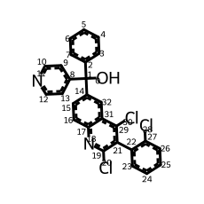 OC(c1ccccc1)(c1ccncc1)c1ccc2nc(Cl)c(-c3ccccc3Cl)c(Cl)c2c1